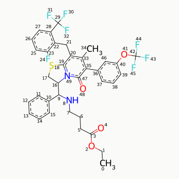 CCOC(=O)CCCNC(c1ccccc1)C1CSc2c(Cc3c(F)cccc3C(F)(F)F)c(C)c(-c3cccc(OC(F)(F)F)c3)c(=O)n21